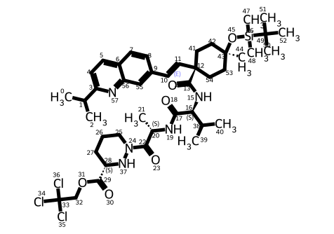 CC(C)c1ccc2ccc(/C=C/[C@]3(C(=O)N[C@H](C(=O)N[C@@H](C)C(=O)N4CCC[C@@H](C(=O)OCC(Cl)(Cl)Cl)N4)C(C)C)CC[C@@](C)(O[Si](C)(C)C(C)(C)C)CC3)cc2n1